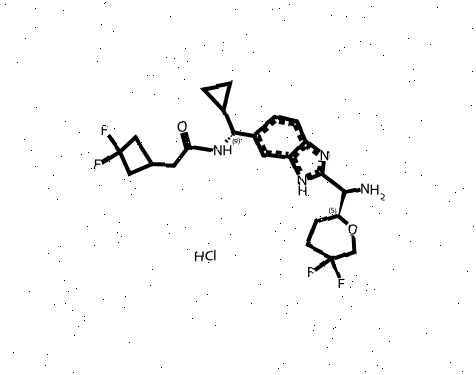 Cl.NC(c1nc2ccc([C@H](NC(=O)CC3CC(F)(F)C3)C3CC3)cc2[nH]1)[C@@H]1CCC(F)(F)CO1